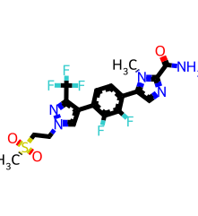 Cn1c(-c2ccc(-c3cn(CCS(C)(=O)=O)nc3C(F)(F)F)c(F)c2F)cnc1C(N)=O